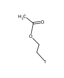 CC(=O)OCCI